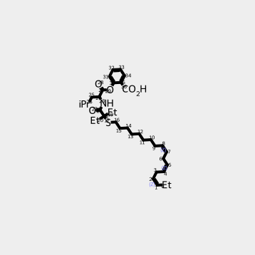 CC/C=C\C/C=C\C/C=C\CCCCCCCCSC(CC)(CC)C(=O)NC(CC(C)C)C(=O)Oc1ccccc1C(=O)O